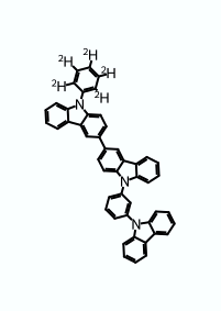 [2H]c1c([2H])c([2H])c(-n2c3ccccc3c3cc(-c4ccc5c(c4)c4ccccc4n5-c4cccc(-n5c6ccccc6c6ccccc65)c4)ccc32)c([2H])c1[2H]